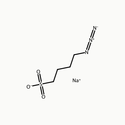 [N-]=[N+]=NCCCCS(=O)(=O)[O-].[Na+]